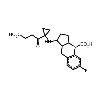 O=C(O)CCC(=O)C1(NC2CCC3C2Cc2ccc(F)cc2N3C(=O)O)CC1